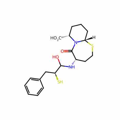 O=C(O)[C@@H]1CCC[C@@H]2SCC[C@H](NC(O)[C@@H](S)Cc3ccccc3)C(=O)N21